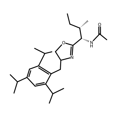 CC[C@H](C)[C@H](NC(C)=O)C1=NC(Cc2c(C(C)C)cc(C(C)C)cc2C(C)C)CO1